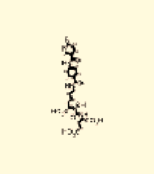 O=C(O)CCC(NC(=O)N(O)[C@@H](CCCCNC(=O)c1ccc(NC(=O)c2ccc(F)nc2)cc1)C(=O)O)C(=O)O